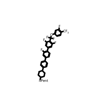 CCCCCC1CCC(c2ccc(-c3ccc(-c4cc(F)c(C(F)(F)Oc5ccc(C(F)(F)F)c(F)c5)c(F)c4)c(F)c3)cc2)CC1